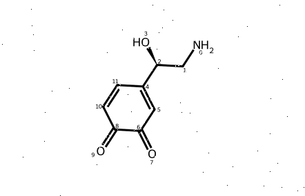 NC[C@H](O)C1=CC(=O)C(=O)C=C1